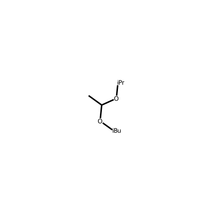 CCC(C)OC(C)OC(C)C